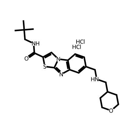 CC(C)(C)CNC(=O)c1cn2c(nc3cc(CNCC4CCOCC4)ccc32)s1.Cl.Cl